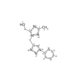 Cc1nc(CO)n(Cc2cn(-c3ccccc3)nn2)n1